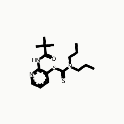 CCCN(CCC)C(=S)Sc1cccnc1NC(=O)C(C)(C)C